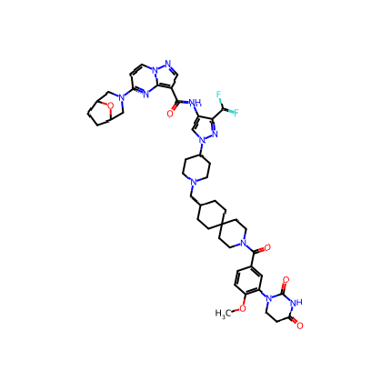 COc1ccc(C(=O)N2CCC3(CCC(CN4CCC(n5cc(NC(=O)c6cnn7ccc(N8CC9CCC(C8)O9)nc67)c(C(F)F)n5)CC4)CC3)CC2)cc1N1CCC(=O)NC1=O